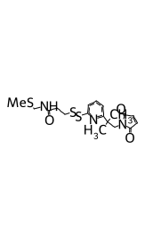 CSCNC(=O)CCSSc1cccc(C(C)(C)CN2C(=O)C=CC2=O)n1